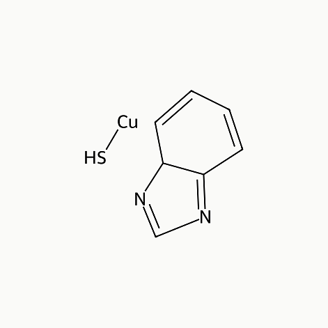 C1=CC2=NC=NC2C=C1.[SH][Cu]